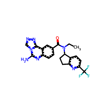 CCN(C(=O)c1ccc2nc(N)n3cnnc3c2c1)C1CCc2nc(C(F)(F)F)ccc21